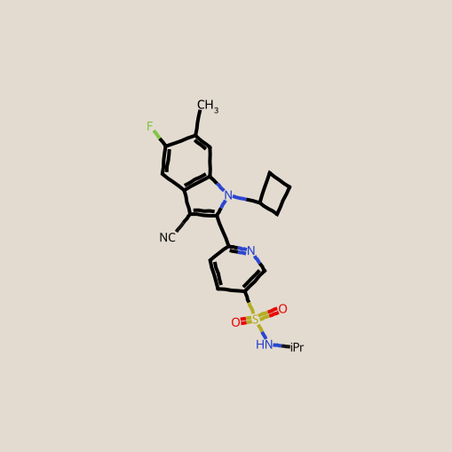 Cc1cc2c(cc1F)c(C#N)c(-c1ccc(S(=O)(=O)NC(C)C)cn1)n2C1CCC1